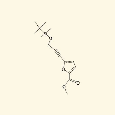 COC(=O)c1ccc(C#CCO[Si](C)(C)C(C)(C)C)o1